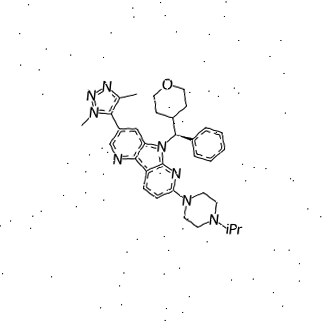 Cc1nnn(C)c1-c1cnc2c3ccc(N4CCN(C(C)C)CC4)nc3n([C@H](c3ccccc3)C3CCOCC3)c2c1